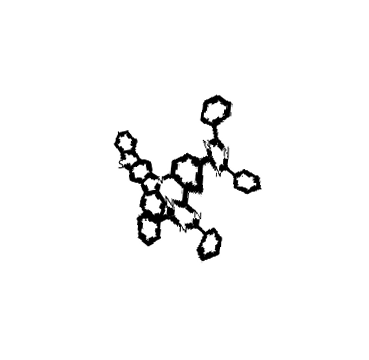 c1ccc(-c2nc(-c3ccccc3)nc(-c3ccc(-n4c5ccccc5c5cc6sc7ccccc7c6cc54)c(-c4nc(-c5ccccc5)nc(-c5ccccc5)n4)c3)n2)cc1